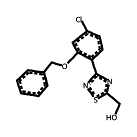 OCc1nc(-c2ccc(Cl)cc2OCc2ccccc2)ns1